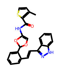 Cc1ccsc1C(=O)NC1=COC(c2ccccc2/C=C/c2n[nH]c3ccccc23)O1